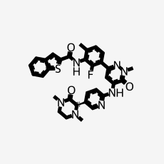 Cc1ccc(-c2cc(Nc3ccc([C@@H]4C(=O)N(C)CCN4C)cn3)c(=O)n(C)n2)c(F)c1NC(=O)c1cc2ccccc2s1